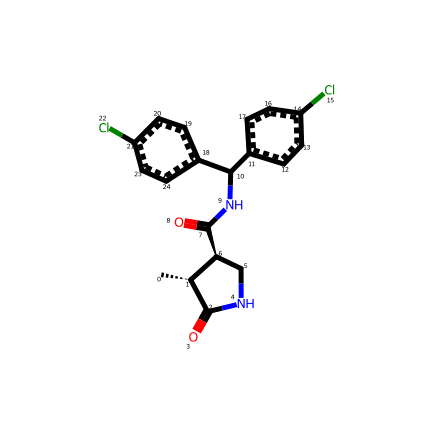 C[C@H]1C(=O)NC[C@@H]1C(=O)NC(c1ccc(Cl)cc1)c1ccc(Cl)cc1